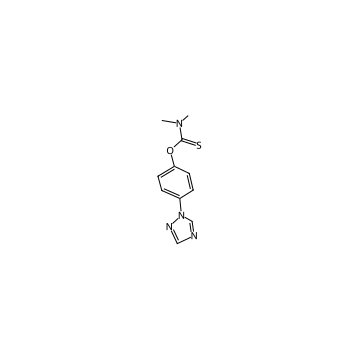 CN(C)C(=S)Oc1ccc(-n2cncn2)cc1